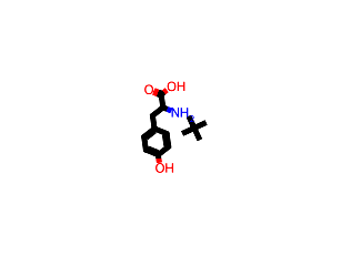 CC(C)(C)C.NC(Cc1ccc(O)cc1)C(=O)O